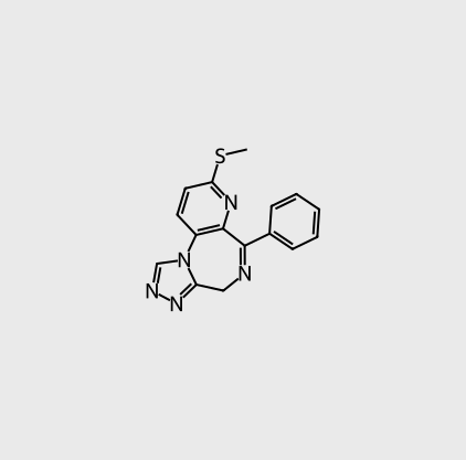 CSc1ccc2c(n1)C(c1ccccc1)=NCc1nncn1-2